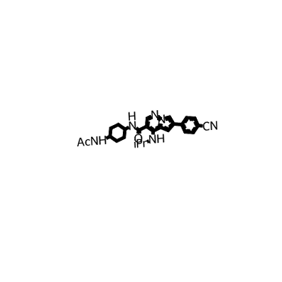 CC(=O)NC1CCC(NC(=O)c2cnn3cc(-c4ccc(C#N)cc4)cc3c2NC(C)C)CC1